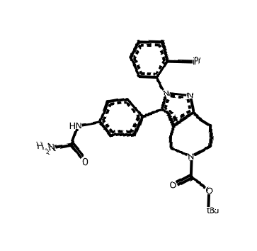 CC(C)c1ccccc1-n1nc2c(c1-c1ccc(NC(N)=O)cc1)CN(C(=O)OC(C)(C)C)CC2